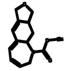 CC(C)(C)OC(=O)N1CC=CC=C2C=C3COCC3CC21